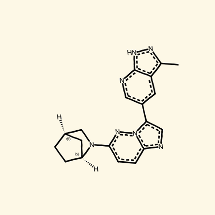 Cc1n[nH]c2ncc(-c3cnc4ccc(N5C[C@@H]6CC[C@H]5C6)nn34)cc12